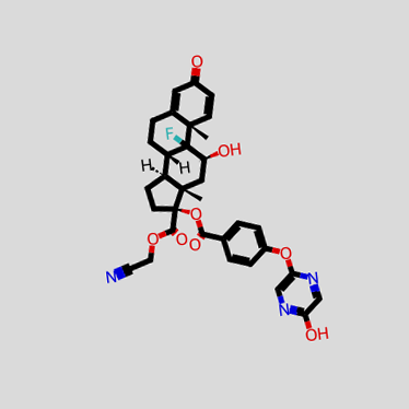 C[C@]12C=CC(=O)C=C1CC[C@H]1[C@@H]3CC[C@@](OC(=O)c4ccc(Oc5cnc(O)cn5)cc4)(C(=O)OCC#N)[C@@]3(C)C[C@H](O)C12F